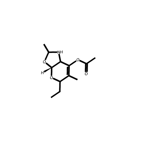 CCC1O[C@@H]2OC(C)NC2C(OC(C)=O)=C1C